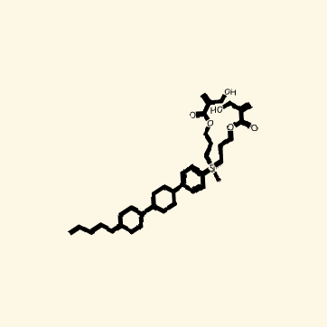 C=C(CO)C(=O)OCCC[Si](C)(CCCOC(=O)C(=C)CO)c1ccc(C2CCC(C3CCC(CCCCC)CC3)CC2)cc1